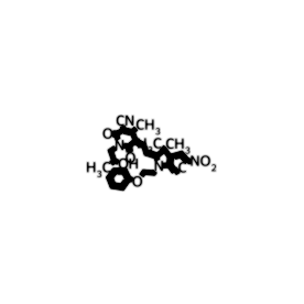 CC1=C(C#N)C(=O)N(CC(C)O)C(=O)/C1=C\C=C1\N(CCOc2ccccc2)c2ccc([N+](=O)[O-])cc2C1(C)C